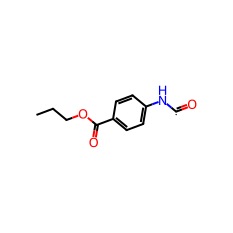 CCCOC(=O)c1ccc(N[C]=O)cc1